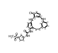 CS(=O)(=O)N1CC[C@@H](NC(=O)Nc2ccc3cc2CCc2cccc(c2)Nc2ncc(Cl)c(n2)N3)C1